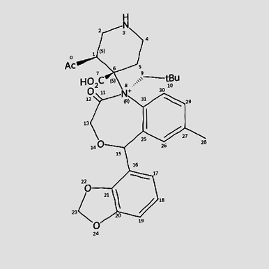 CC(=O)[C@H]1CNCC[C@]1(C(=O)O)[N@+]1(CC(C)(C)C)C(=O)COC(c2cccc3c2OCO3)c2cc(C)ccc21